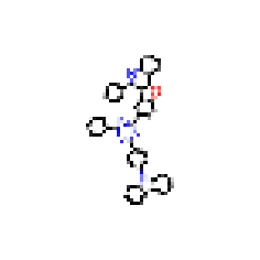 c1ccc(-c2nc(-c3ccc(-n4c5ccccc5c5ccccc54)cc3)nc(-c3ccc4oc5c6ccccc6nc(-c6ccccc6)c5c4c3)n2)cc1